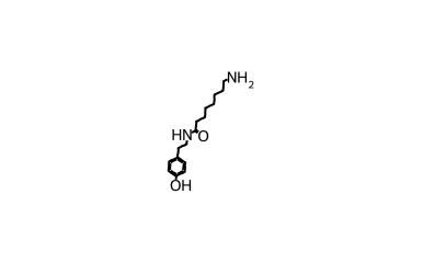 NCCCCCCCC(=O)NCCc1ccc(O)cc1